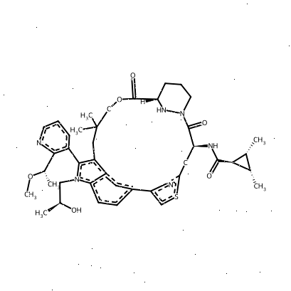 CO[C@@H](C)c1ncccc1-c1c2c3cc(ccc3n1C[C@H](C)O)-c1csc(n1)C[C@H](NC(=O)[C@H]1[C@H](C)[C@@H]1C)C(=O)N1CCC[C@H](N1)C(=O)OCC(C)(C)C2